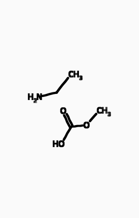 CCN.COC(=O)O